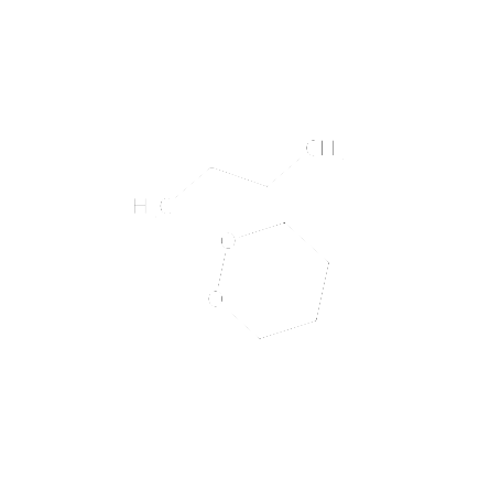 C1CCOOC1.CCCC